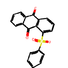 O=C1c2ccccc2C(=O)c2c1cccc2S(=O)(=O)c1ccccc1